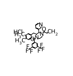 C=CC(=O)N1CCN(C(=O)c2cc(C(F)(F)F)cc(C(F)(F)F)c2)C(Cc2ccc(C)c(C)c2)C1c1cccnc1.Cl